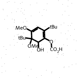 COC1=CC(C(C)(C)C)=C(OC(=O)O)C(O)C1(OC)C(C)(C)C